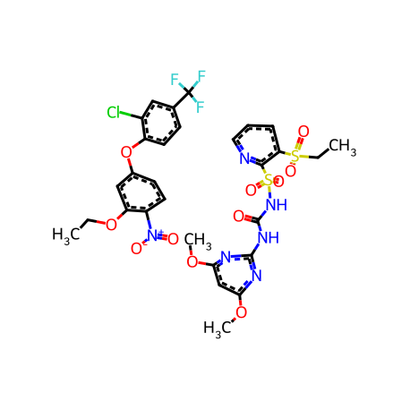 CCOc1cc(Oc2ccc(C(F)(F)F)cc2Cl)ccc1[N+](=O)[O-].CCS(=O)(=O)c1cccnc1S(=O)(=O)NC(=O)Nc1nc(OC)cc(OC)n1